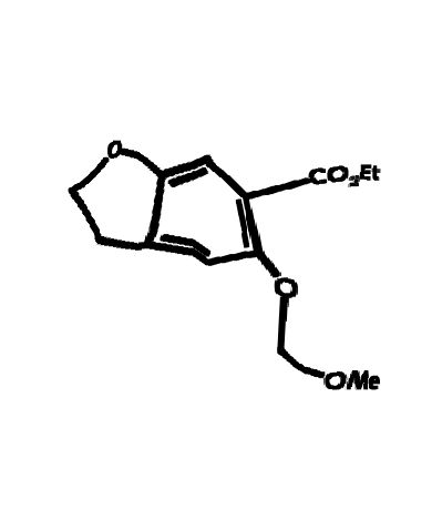 CCOC(=O)c1cc2c(cc1OCOC)CCO2